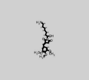 COc1cc(/C=C2\CC(=O)N(C(O)CCCCCCN)C2=O)cc(OC)c1OC